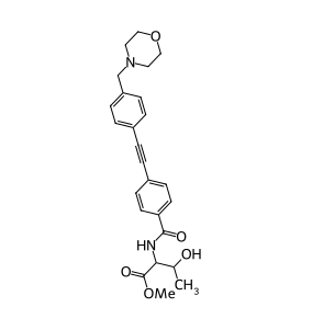 COC(=O)C(NC(=O)c1ccc(C#Cc2ccc(CN3CCOCC3)cc2)cc1)C(C)O